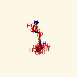 CCC(C)(CC(CC(C)C(=O)OCCSSCCNC(=O)[C@H](O)[C@@H](O)C(O[C@@H]1O[C@H](CO)[C@H](O)[C@H](O)[C@H]1O)[C@H](O)CO)C(=O)OCCSSc1ccccn1)C(=O)OCCO